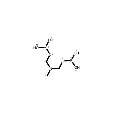 CN(COP(O)O)COP(O)O